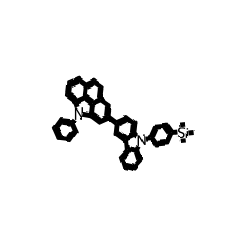 C[Si](C)(C)c1ccc(-n2c3ccccc3c3cc(-c4cc5ccc6cccc7c6c5c(c4)n7-c4ccccc4)ccc32)cc1